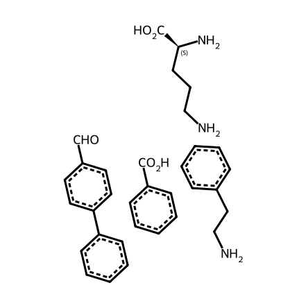 NCCC[C@H](N)C(=O)O.NCCc1ccccc1.O=C(O)c1ccccc1.O=Cc1ccc(-c2ccccc2)cc1